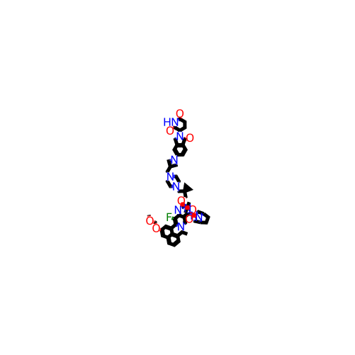 CCc1cccc2cc(OCOC)cc(-c3ncc4c(N5CC6CCC(C5)N6C(=O)OC(C)(C)C)nc(OCC5(CN6CCN(CC7CN(c8ccc9c(c8)CN(C8CCC(=O)NC8=O)C9=O)C7)CC6)CC5)nc4c3F)c12